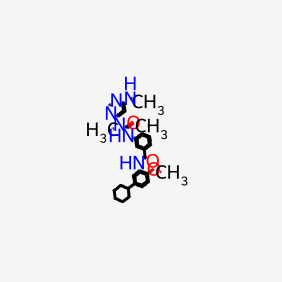 CNc1cc(N(C)C(=O)Nc2cc(C(=O)Nc3cc(C4CCCCC4)ccc3OC)ccc2C)ncn1